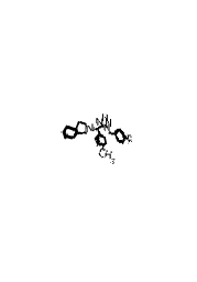 Cc1ccc(C(c2nnnn2Cc2ccc(F)cc2)N2CCc3ccccc3C2)cc1